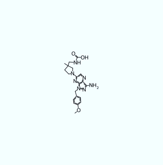 COc1ccc(Cn2nc(N)c3ncc(N4CCC(C)(CNC(=O)O)C4)nc32)cc1